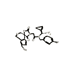 O=C1OC2(COCc3cc(Br)ccc32)C(=O)N1CC(=O)N(Cc1ccc(F)cc1)[C@@H](C1CC1)C(F)(F)F